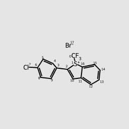 FC(F)(F)[s+]1c(-c2ccc(Cl)cc2)cc2ccccc21.[Br-]